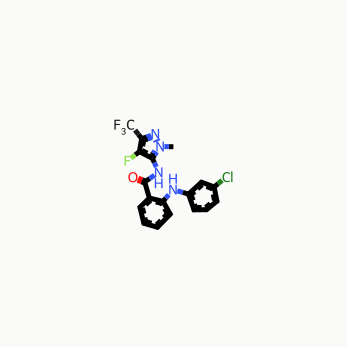 Cn1nc(C(F)(F)F)c(F)c1NC(=O)c1ccccc1Nc1cccc(Cl)c1